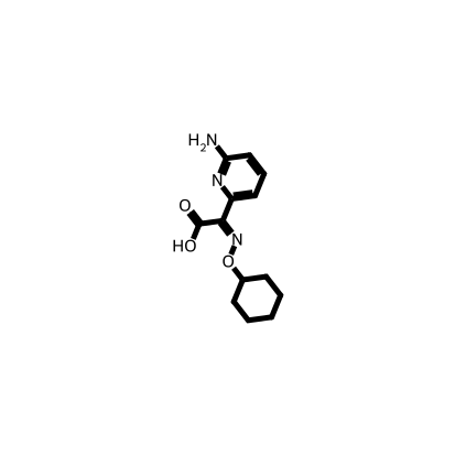 Nc1cccc(C(=NOC2CCCCC2)C(=O)O)n1